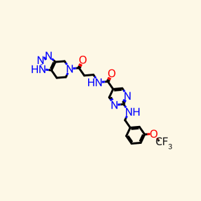 O=C(NCCC(=O)N1CCc2[nH]nnc2C1)c1cnc(NCc2cccc(OC(F)(F)F)c2)nc1